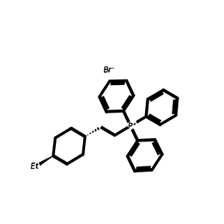 CC[C@H]1CC[C@H](CC[P+](c2ccccc2)(c2ccccc2)c2ccccc2)CC1.[Br-]